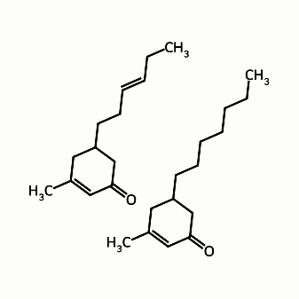 CCC=CCCC1CC(=O)C=C(C)C1.CCCCCCCC1CC(=O)C=C(C)C1